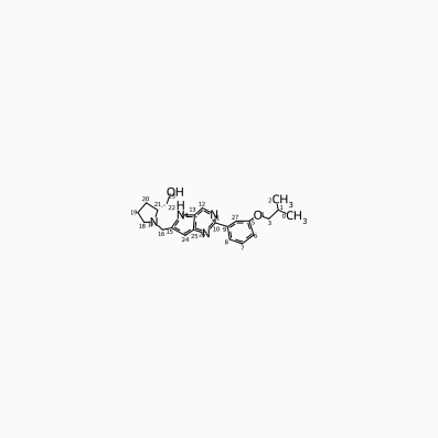 CC(C)COc1cccc(-c2ncc3[nH]c(CN4CCC[C@@H]4CO)cc3n2)c1